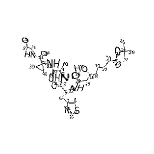 C[C@@H](NC(=O)[C@@H](Cc1cscn1)NC(=O)C[C@H](O)CCCCC(=O)OC(C)(C)C)C(=O)NC1(C(=O)NCC=O)CC1